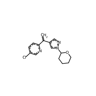 C=C(c1cnn(C2CCCCO2)c1)c1ccc(Cl)cn1